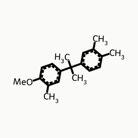 COc1ccc(C(C)(C)c2ccc(C)c(C)c2)cc1C